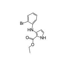 CCOC(=O)c1[nH]ccc1Nc1ccccc1Br